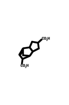 O=C(O)C1CC2C3=CC(C(=O)O)C(C3)C2C1